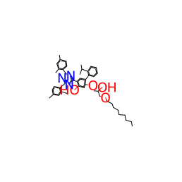 CCCCCCCCCOCC(O)COc1cc(O)c(-c2nc(-c3ccc(C)cc3C)nc(-c3ccc(C)cc3C)n2)cc1-c1ccccc1C(C)C